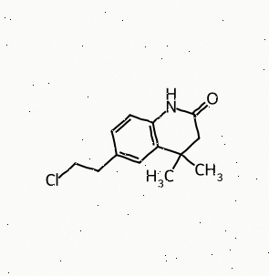 CC1(C)CC(=O)Nc2ccc(CCCl)cc21